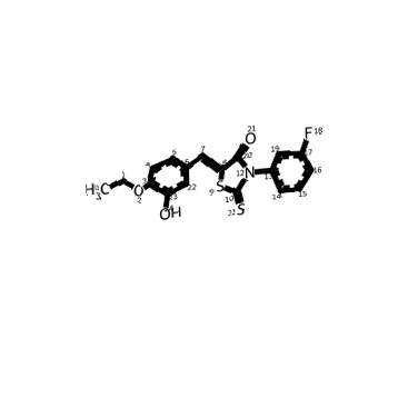 CCOc1ccc(/C=C2\SC(=S)N(c3cccc(F)c3)C2=O)cc1O